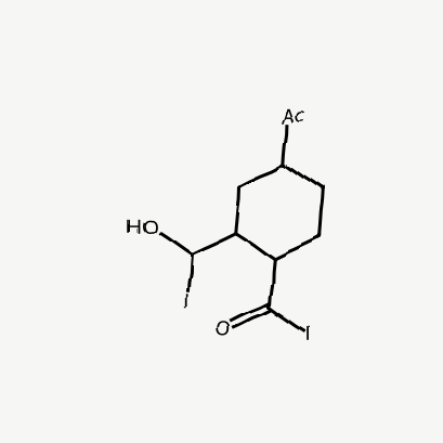 CC(=O)C1CCC(C(=O)I)C(C(O)I)C1